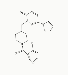 O=C(c1ccccc1F)N1CCC(Cn2nc(-n3cccn3)ccc2=O)CC1